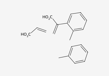 C=C(C(=O)O)c1ccccc1C.C=CC(=O)O.Cc1ccccc1